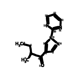 CCC(C)C(=O)c1cnn(-c2ncccn2)c1